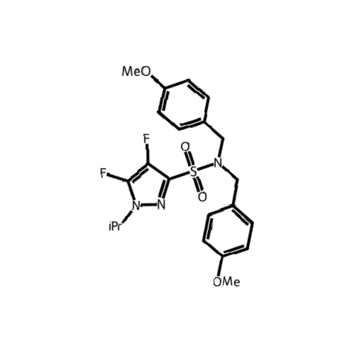 COc1ccc(CN(Cc2ccc(OC)cc2)S(=O)(=O)c2nn(C(C)C)c(F)c2F)cc1